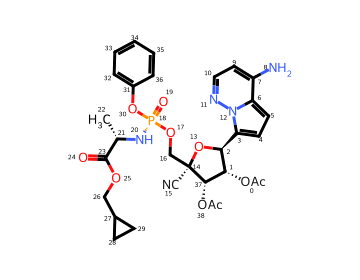 CC(=O)O[C@H]1[C@H](c2ccc3c(N)ccnn23)O[C@](C#N)(CO[P@@](=O)(N[C@@H](C)C(=O)OCC2CC2)Oc2ccccc2)[C@H]1OC(C)=O